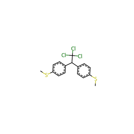 CSc1ccc(C(c2ccc(SC)cc2)C(Cl)(Cl)Cl)cc1